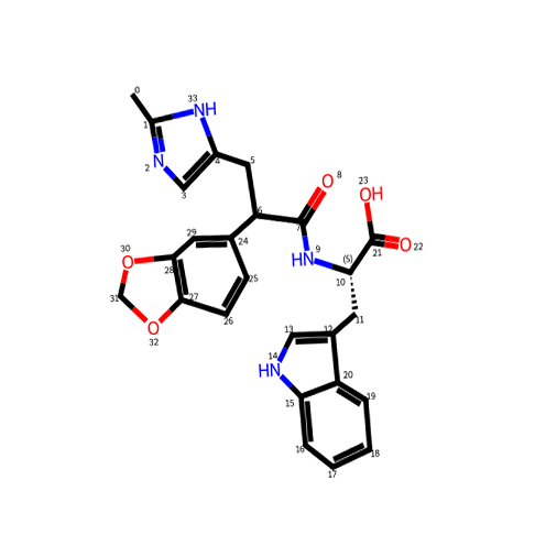 Cc1ncc(CC(C(=O)N[C@@H](Cc2c[nH]c3ccccc23)C(=O)O)c2ccc3c(c2)OCO3)[nH]1